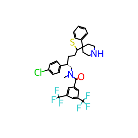 CN(C[C@@H](CCC1Sc2ccccc2C12CCNCC2)c1ccc(Cl)cc1)C(=O)c1cc(C(F)(F)F)cc(C(F)(F)F)c1